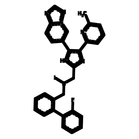 Cc1cccc(-c2nc(CN(I)Cc3ccccc3-c3ccccc3F)[nH]c2-c2ccc3ncnn3c2)n1